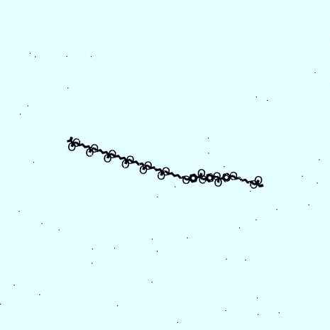 C=CC(=O)OCCCCCCOc1ccc(C(=O)Oc2ccc(OC(=O)c3ccc(OCCCCCCOC(=O)CCCCOC(=O)CCCCOC(=O)CCCCOC(=O)CCCCOC(=O)CCCCOC(=O)C(=C)C)cc3)cc2)cc1